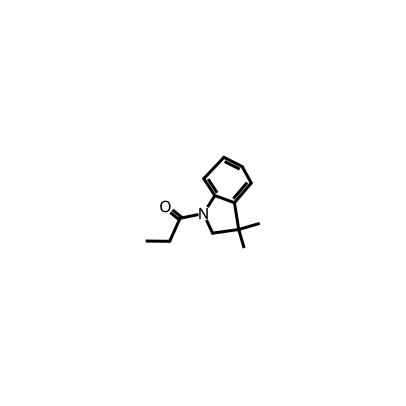 CCC(=O)N1CC(C)(C)c2ccccc21